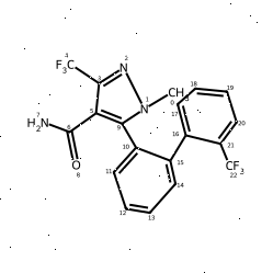 Cn1nc(C(F)(F)F)c(C(N)=O)c1-c1ccccc1-c1ccccc1C(F)(F)F